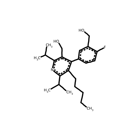 CCCCCc1c(C(C)C)nc(C(C)C)c(CO)c1-c1ccc(F)c(CO)c1